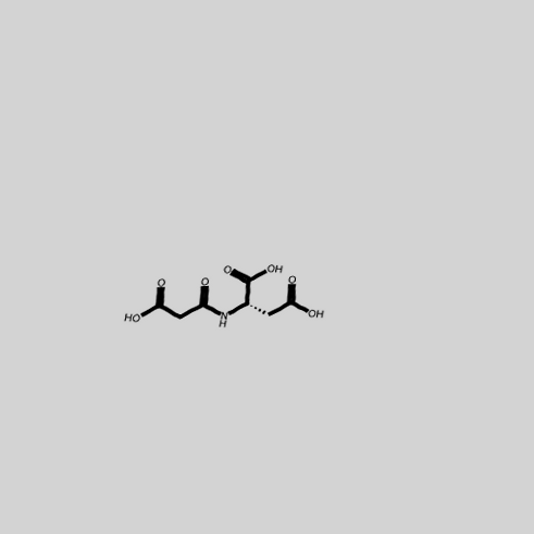 O=C(O)CC(=O)N[C@@H](CC(=O)O)C(=O)O